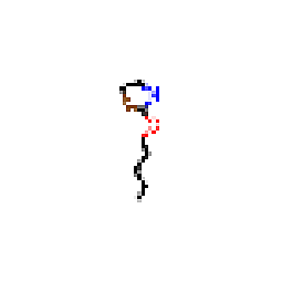 CCCCCOC1N=CCS1